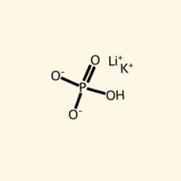 O=P([O-])([O-])O.[K+].[Li+]